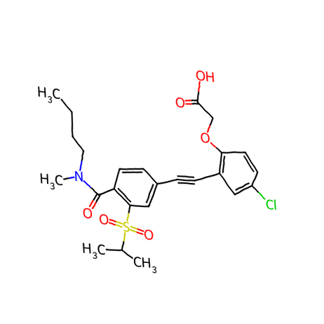 CCCCN(C)C(=O)c1ccc(C#Cc2cc(Cl)ccc2OCC(=O)O)cc1S(=O)(=O)C(C)C